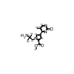 COC(=O)c1cc(-c2nc(Cl)ncc2C)cn1CC(C)(C)N